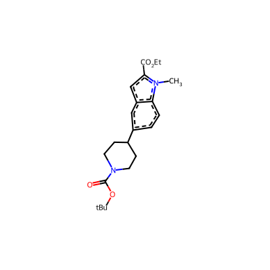 CCOC(=O)c1cc2cc(C3CCN(C(=O)OC(C)(C)C)CC3)ccc2n1C